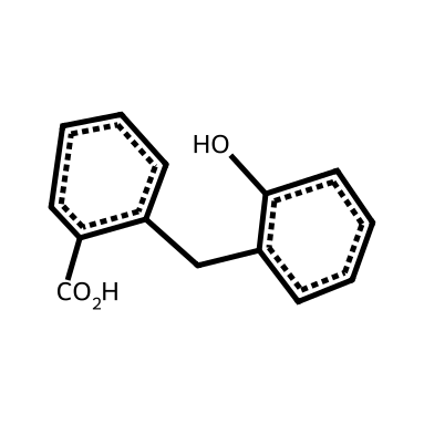 O=C(O)c1ccccc1Cc1ccccc1O